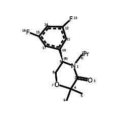 CC(C)N1C(=O)C(C)(C)OC[C@H]1c1cc(F)cc(F)c1